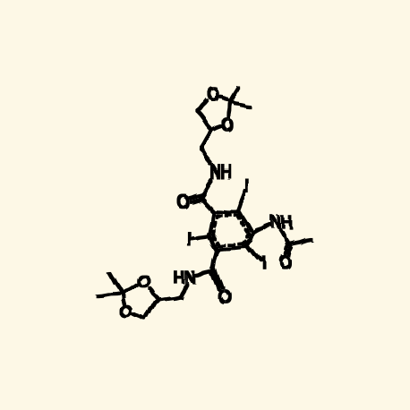 CC(=O)Nc1c(I)c(C(=O)NCC2COC(C)(C)O2)c(I)c(C(=O)NCC2COC(C)(C)O2)c1I